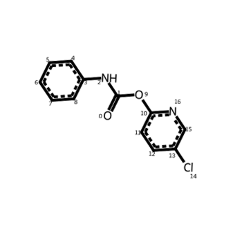 O=C(Nc1ccccc1)Oc1ccc(Cl)cn1